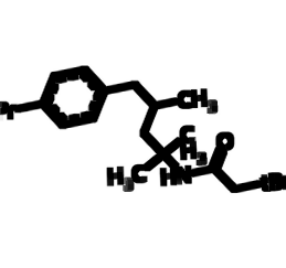 CCCc1ccc(CC(C)CC(C)(C)NC(=O)CC(C)(C)C)cc1